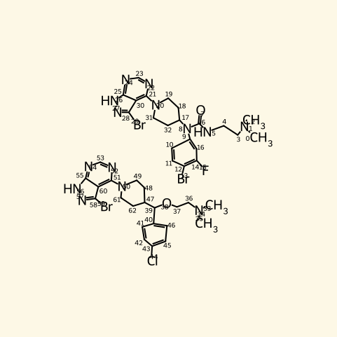 CN(C)CCNC(=O)N(c1ccc(Br)c(F)c1)C1CCN(c2ncnc3[nH]nc(Br)c23)CC1.CN(C)CCOC(c1ccc(Cl)cc1)C1CCN(c2ncnc3[nH]nc(Br)c23)CC1